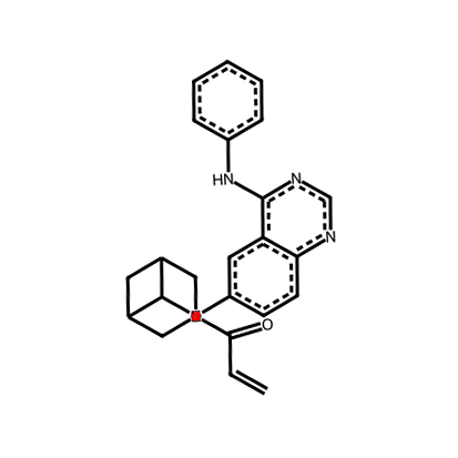 C=CC(=O)N1CC2CC(C1)C2Oc1ccc2ncnc(Nc3ccccc3)c2c1